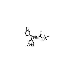 CN1CCC(N(SNC(=O)OC(C)(C)C)c2cnn(C)c2)C1